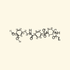 C=CC(=O)NC1(C)CCN(S(=O)(=O)c2ccc(C(=O)NCCc3ccc(OC)c(OC)c3)cc2)CC1